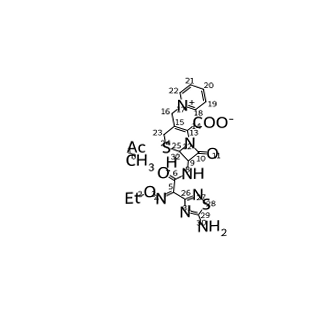 CC(C)=O.CCO/N=C(\C(=O)NC1C(=O)N2C(C(=O)[O-])=C(C[n+]3ccccc3)CS[C@H]12)c1nsc(N)n1